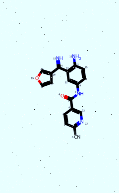 N#Cc1ccc(C(=O)Nc2ccc(N)c(C(=N)c3ccoc3)c2)cn1